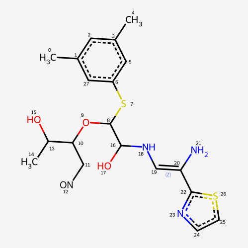 Cc1cc(C)cc(SC(OC(CN=O)C(C)O)C(O)N/C=C(\N)c2nccs2)c1